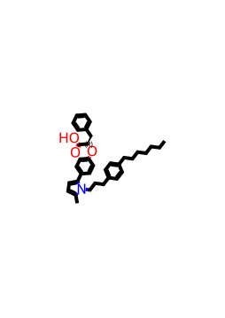 CCCCCCCc1ccc(CCCn2c(C)ccc2-c2ccc(O[C@H](Cc3ccccc3)C(=O)O)cc2)cc1